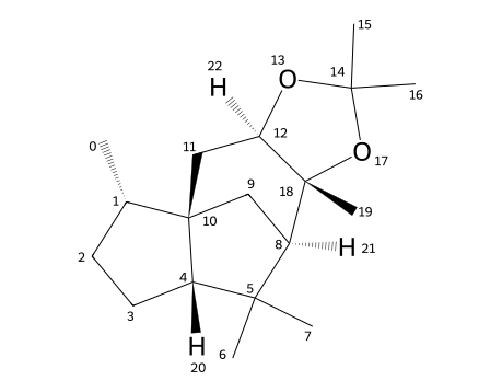 C[C@H]1CC[C@H]2C(C)(C)[C@H]3C[C@@]12C[C@H]1OC(C)(C)O[C@]31C